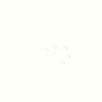 O=c1c2sc3ncnc(NC4CC4)c3c2ncn1-c1ccc2occc2c1